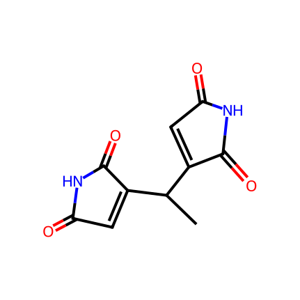 CC(C1=CC(=O)NC1=O)C1=CC(=O)NC1=O